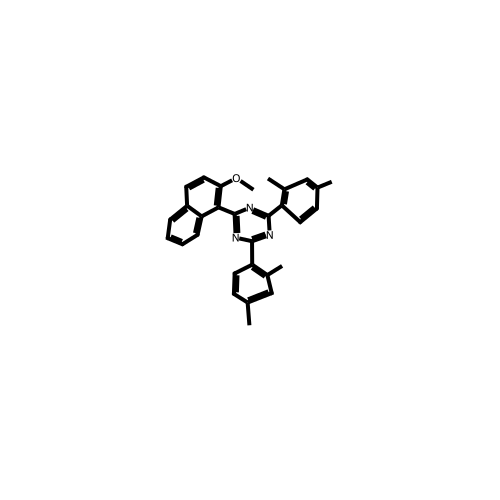 COc1ccc2ccccc2c1-c1nc(-c2ccc(C)cc2C)nc(-c2ccc(C)cc2C)n1